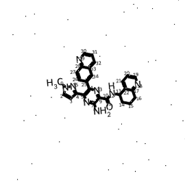 Cn1ccc(-c2nc(N)c(C(=O)NC3CCCc4ncccc43)nc2-c2ccc3ncccc3c2)n1